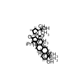 CC(C)C1=C2[C@H]3CC[C@@H]4[C@@]5(C)CC[C@H](O)C(C)(C)[C@@H]5CC[C@@]4(C)[C@]3(C)CC[C@@]2(C(=O)N2CCC[C@H]2C(C)(C)O)CC1=O